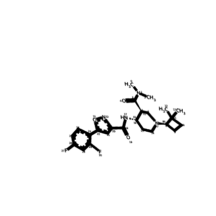 CN(C)C(=O)[C@H]1CN([C@@H]2CCC2(C)C)CC[C@@H]1NC(=O)c1cc(-c2ccc(F)cc2F)on1